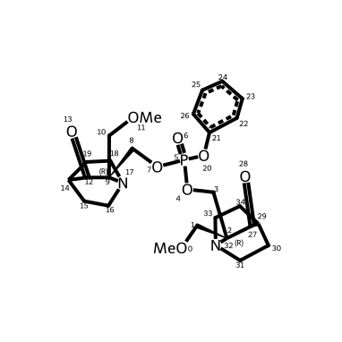 COC[C@@]1(COP(=O)(OC[C@]2(COC)C(=O)C3CCN2CC3)Oc2ccccc2)C(=O)C2CCN1CC2